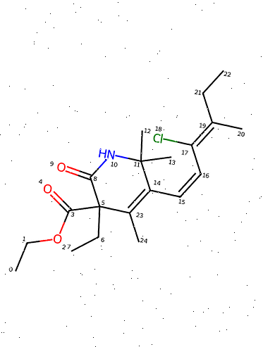 CCOC(=O)C1(CC)C(=O)NC(C)(C)C(/C=C\C(Cl)=C(/C)CC)=C1C